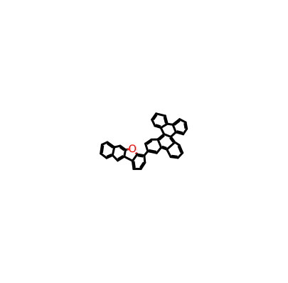 c1ccc2cc3c(cc2c1)oc1c(-c2ccc4c(c2)c2ccccc2c2c5ccccc5c5ccccc5c42)cccc13